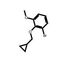 COc1cc[c]c(Br)c1OCC1CC1